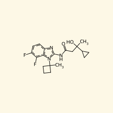 CC(O)(CC(=O)Nc1nc2ccc(F)c(F)c2n1C1(C)CCC1)C1CC1